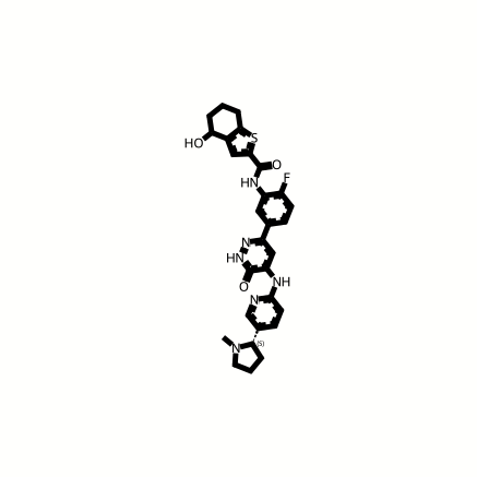 CN1CCC[C@H]1c1ccc(Nc2cc(-c3ccc(F)c(NC(=O)c4cc5c(s4)CCCC5O)c3)n[nH]c2=O)nc1